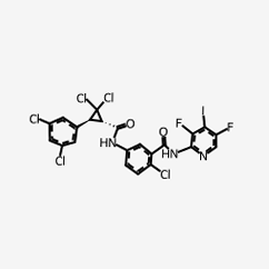 O=C(Nc1ncc(F)c(I)c1F)c1cc(NC(=O)[C@@H]2[C@@H](c3cc(Cl)cc(Cl)c3)C2(Cl)Cl)ccc1Cl